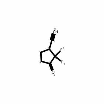 C#CC1CCC(=O)C1(F)F